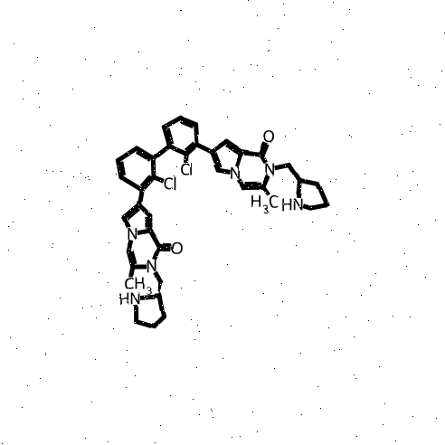 Cc1cn2cc(-c3cccc(-c4cccc(-c5cc6c(=O)n(C[C@H]7CCCN7)c(C)cn6c5)c4Cl)c3Cl)cc2c(=O)n1CC1CCCN1